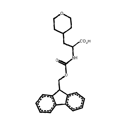 O=C(NC(CC1CCOCC1)C(=O)O)OCC1c2ccccc2-c2ccccc21